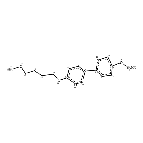 CCCCCCCCOc1ccc(-c2ccc(OCCCCOCCCC)nn2)nc1